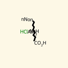 CCCCCCCCCCCCCCCCCC(=O)O.Cl.[AlH3].[NaH]